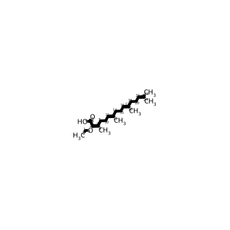 CCO/C(C(=O)O)=C(\C)CC/C=C(\C)CC/C=C(\C)CCC=C(C)C